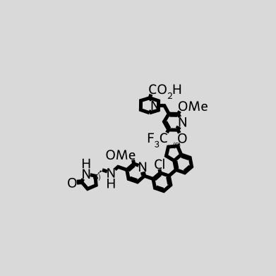 COc1nc(-c2cccc(-c3cccc4c3CC[C@@H]4Oc3nc(OC)c(CN4C5CCC4(C(=O)O)CC5)cc3C(F)(F)F)c2Cl)ccc1CNC[C@@H]1CCC(=O)N1